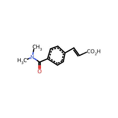 CN(C)C(=O)c1ccc(/C=C/C(=O)O)cc1